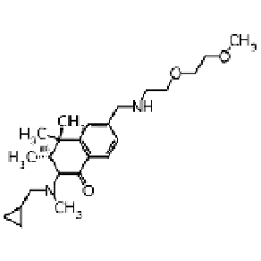 COCCOCCNCc1ccc2c(c1)C(C)(C)[C@@H](C)C(N(C)CC1CC1)C2=O